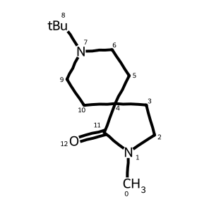 CN1CCC2(CCN(C(C)(C)C)CC2)C1=O